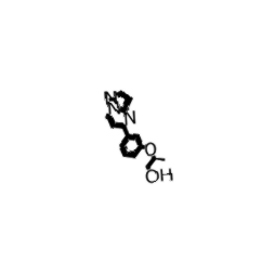 C[C@@H](CO)Oc1cccc(-c2ccn3nccc3n2)c1